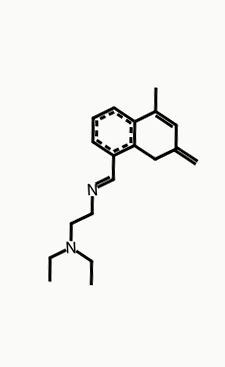 C=C1C=C(C)c2cccc(/C=N/CCN(CC)CC)c2C1